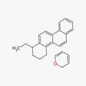 C1=CCOC=C1.CCC1CCCc2c1ccc1c2ccc2ccccc21